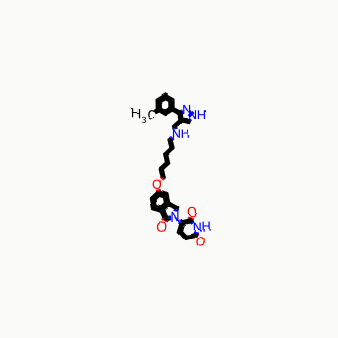 Cc1cccc(-c2n[nH]cc2CNCCCCCCOc2ccc3c(c2)CN(C2CCC(=O)NC2=O)C3=O)c1